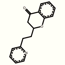 O=C1CC(CCc2ccccn2)Oc2ccccc21